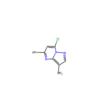 Bc1cnn2c(Cl)cc(CCC)nc12